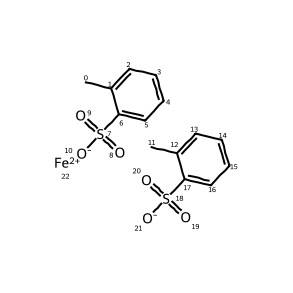 Cc1ccccc1S(=O)(=O)[O-].Cc1ccccc1S(=O)(=O)[O-].[Fe+2]